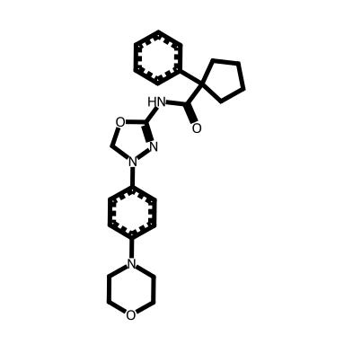 O=C(NC1=NN(c2ccc(N3CCOCC3)cc2)CO1)C1(c2ccccc2)CCCC1